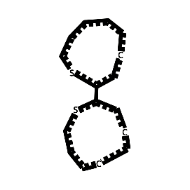 c1cccsc(-c2cccccccs2)ccc1